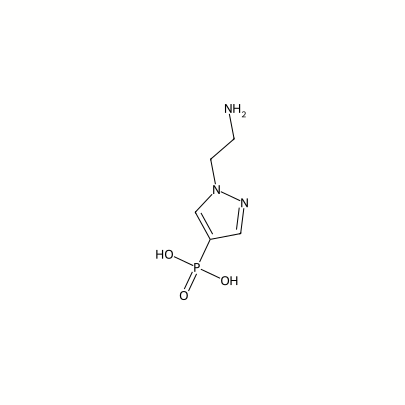 NCCn1cc(P(=O)(O)O)cn1